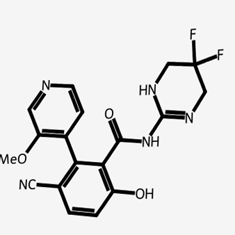 COc1cnccc1-c1c(C#N)ccc(O)c1C(=O)NC1=NCC(F)(F)CN1